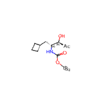 CC(=O)[C@H](O)[C@@H](CC1CCC1)NC(=O)OC(C)(C)C